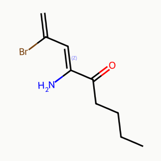 C=C(Br)/C=C(\N)C(=O)CCCC